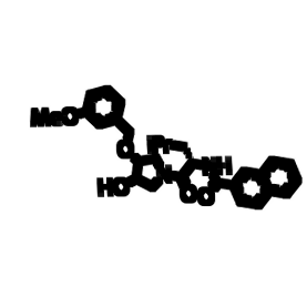 COc1cccc(COC2CN(C(=O)[C@H](CC(C)C)NC(=O)c3ccc4ccccc4c3)CC2O)c1